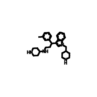 Cc1cccc(C(CCNC2CCNCC2)c2cn(CC3CCNCC3)c3ccccc23)c1